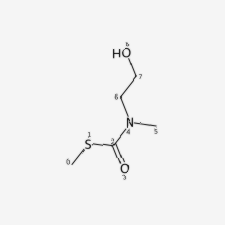 CSC(=O)N(C)CCO